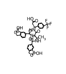 C[C@H](NC(=O)c1ccc2c(c1)B(O)OC2)[C@H](NC(=O)c1ccc2c(c1)B(O)OC2)C(=O)N[C@@H](CC(=O)O)c1ccc(C(F)(F)F)cc1